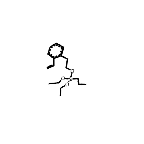 C=Cc1ccccc1CCO[Si](CCC)(OCC)OCC